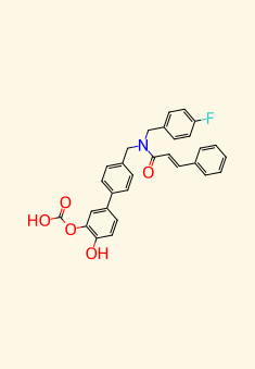 O=C(O)Oc1cc(-c2ccc(CN(Cc3ccc(F)cc3)C(=O)C=Cc3ccccc3)cc2)ccc1O